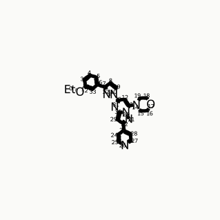 CCOc1cccc(-c2ccn(-c3cc(N4CCOCC4)n4nc(-c5ccncc5)cc4n3)n2)c1